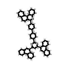 c1ccc2c(c1)cc(-c1cc(-c3cc4ccccc4c4ccccc34)nc(-c3ccc(-c4ccc(-c5nc6ccccc6c6c5ccc5ccccc56)cc4)cc3)n1)c1ccccc12